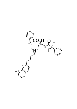 O=C(O)C(CCN(CCCCc1ccc2c(n1)NCCC2)CCOc1ccccc1)NC(=O)C(F)(F)c1cccnc1